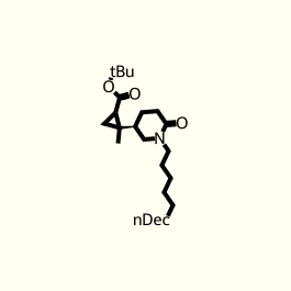 CCCCCCCCCCCCCCCN1C[C@@H](C2(C)CC2C(=O)OC(C)(C)C)CCC1=O